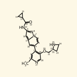 Cc1cc(-c2ccn3nc(NC(=O)C4CC4)cc3c2)c(OC[C@@H]2CCN2)cn1